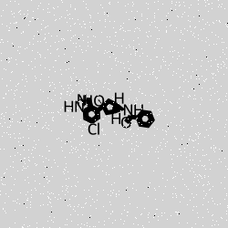 O=C(N[C@@H]1[C@@H]2C[C@@](O)(c3cc(Cl)cc4[nH]ncc34)C[C@@H]21)c1ccccc1